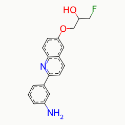 Nc1cccc(-c2ccc3cc(OCC(O)CF)ccc3n2)c1